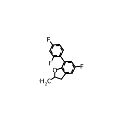 [CH2]C1Cc2cc(F)cc(-c3ccc(F)cc3F)c2O1